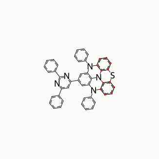 c1ccc(-c2cc(-c3cc(N(c4ccccc4)c4ccccc4)c(N4c5ccccc5Sc5ccccc54)c(N(c4ccccc4)c4ccccc4)c3)nc(-c3ccccc3)n2)cc1